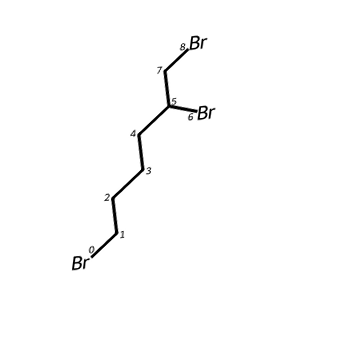 BrCCCCC(Br)CBr